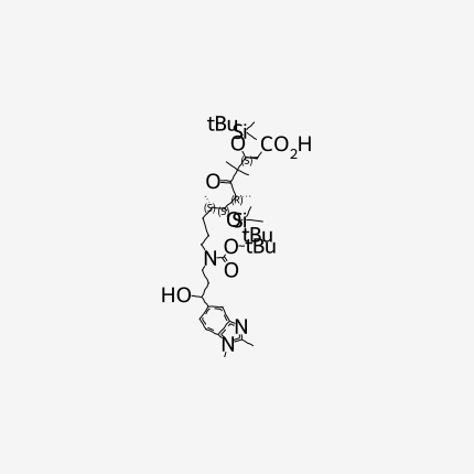 Cc1nc2cc(C(O)CCN(CCC[C@H](C)[C@H](O[Si](C)(C)C(C)(C)C)[C@@H](C)C(=O)C(C)(C)[C@H](CC(=O)O)O[Si](C)(C)C(C)(C)C)C(=O)OC(C)(C)C)ccc2n1C